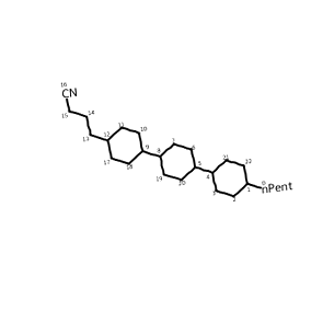 CCCCCC1CCC(C2CCC(C3CCC(CCCC#N)CC3)CC2)CC1